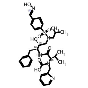 CC(C)CN(C[C@@H](O)[C@H](Cc1ccccc1)NC(=O)[C@@H](C(C)C)N(Cc1ccccn1)C(=O)O)S(=O)(=O)c1ccc(/C=N/O)cc1